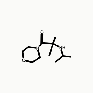 CC(C)NC(C)(C)C(=O)N1CCOCC1